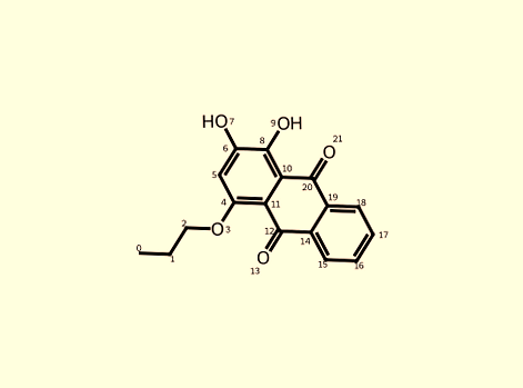 CCCOc1cc(O)c(O)c2c1C(=O)c1ccccc1C2=O